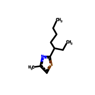 CCCCC(CC)c1nc(C)cs1